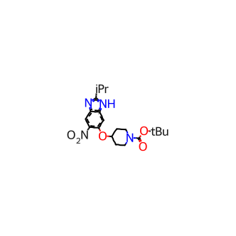 CC(C)c1nc2cc([N+](=O)[O-])c(OC3CCN(C(=O)OC(C)(C)C)CC3)cc2[nH]1